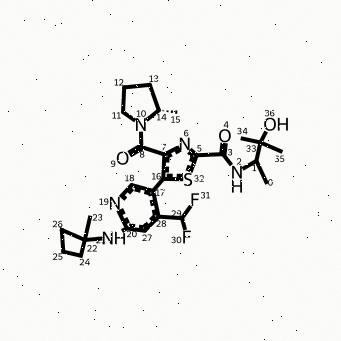 CC(NC(=O)c1nc(C(=O)N2CCC[C@@H]2C)c(-c2cnc(NC3(C)CCC3)cc2C(F)F)s1)C(C)(C)O